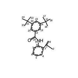 C=C(C)c1ccccc1NC(=O)c1cc(C(C)(C)C)cc(C(C)(C)C)c1